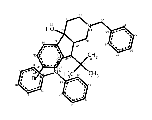 CC(C)(C)C(O[SiH](c1ccccc1)c1ccccc1)C1CN(Cc2ccccc2)CCC1(O)c1ccc(Br)cc1